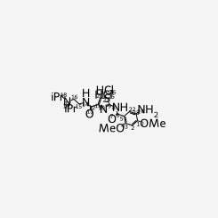 COc1cc(OC)c(C(=O)Nc2nc(C(=O)NCCN(C(C)C)C(C)C)cs2)cc1N.Cl.Cl